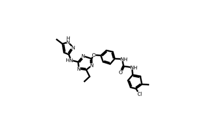 CCc1nc(Nc2cc(C)[nH]n2)nc(Oc2ccc(NC(=O)Nc3ccc(Cl)c(C)c3)cc2)n1